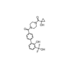 O=C(c1ccc(-c2cccc(C(O)(F)F)c2O)cc1)N1CCN(C(=O)C2(O)CC2)CC1